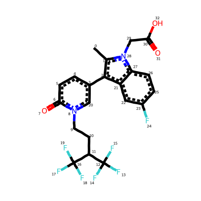 Cc1c(-c2ccc(=O)n(CCC(C(F)(F)F)C(F)(F)F)c2)c2cc(F)ccc2n1CC(=O)O